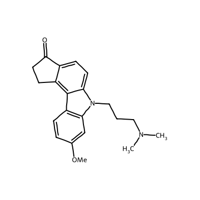 COc1ccc2c3c4c(ccc3n(CCCN(C)C)c2c1)C(=O)CC4